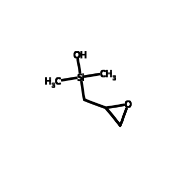 C[Si](C)(O)CC1CO1